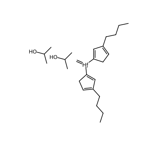 CC(C)O.CC(C)O.[CH2]=[Hf]([C]1=CC(CCCC)=CC1)[C]1=CC(CCCC)=CC1